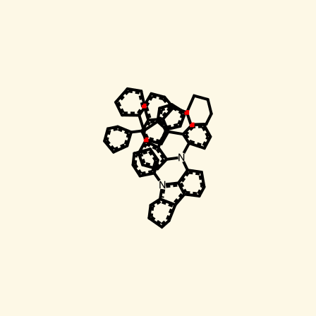 c1ccc(-n2c3ccccc3c3cccc(N(c4ccccc4-c4cccc5cccc(C6CCCCC6)c45)c4cccc5c4-c4ccccc4C5(c4ccccc4)c4ccccc4)c32)cc1